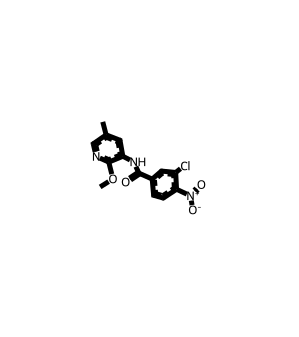 COc1ncc(C)cc1NC(=O)c1ccc([N+](=O)[O-])c(Cl)c1